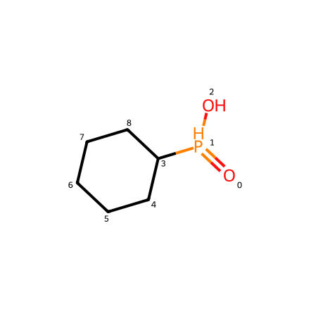 O=[PH](O)C1CCCCC1